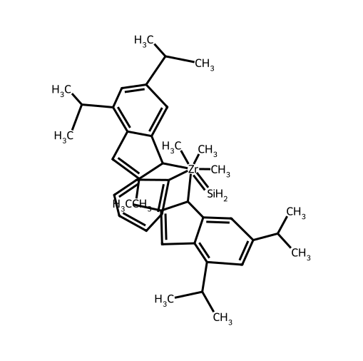 CC1=Cc2c(C(C)C)cc(C(C)C)cc2[CH]1[Zr]([CH3])([CH3])([CH3])(=[SiH2])([c]1ccccc1)[CH]1C(C)=Cc2c(C(C)C)cc(C(C)C)cc21